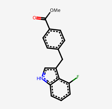 COC(=O)c1ccc(Cc2c[nH]c3cccc(F)c23)cc1